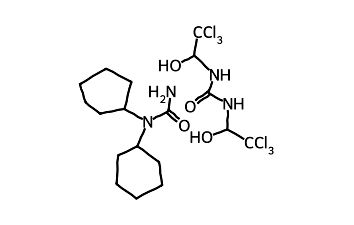 NC(=O)N(C1CCCCC1)C1CCCCC1.O=C(NC(O)C(Cl)(Cl)Cl)NC(O)C(Cl)(Cl)Cl